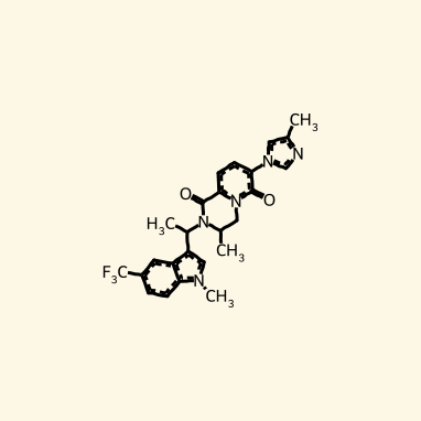 Cc1cn(-c2ccc3n(c2=O)CC(C)N(C(C)c2cn(C)c4ccc(C(F)(F)F)cc24)C3=O)cn1